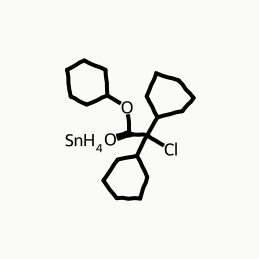 O=C(OC1CCCCC1)C(Cl)(C1CCCCC1)C1CCCCC1.[SnH4]